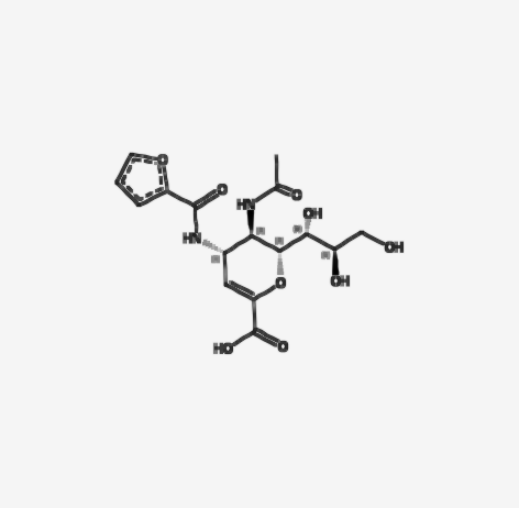 CC(=O)N[C@H]1[C@H]([C@H](O)[C@H](O)CO)OC(C(=O)O)=C[C@@H]1NC(=O)c1ccco1